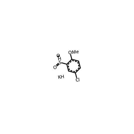 COc1ccc(Cl)cc1[SH](=O)=O.[KH]